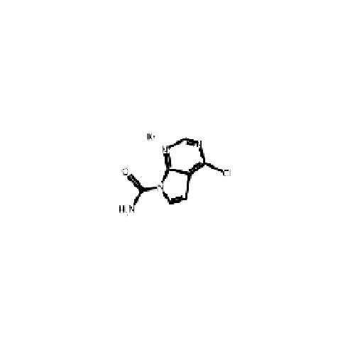 NC(=O)n1ccc2c(Cl)ncnc21.[K]